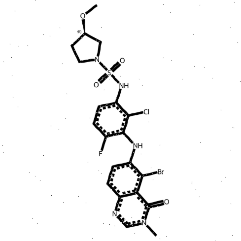 CO[C@@H]1CCN(S(=O)(=O)Nc2ccc(F)c(Nc3ccc4ncn(C)c(=O)c4c3Br)c2Cl)C1